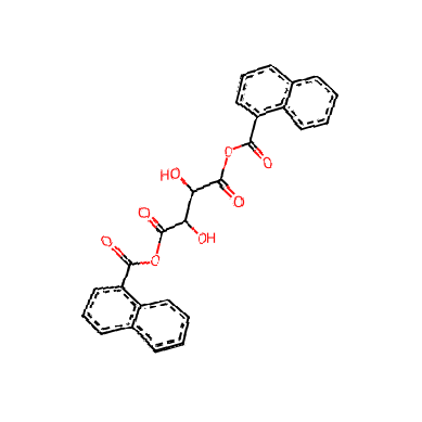 O=C(OC(=O)C(O)C(O)C(=O)OC(=O)c1cccc2ccccc12)c1cccc2ccccc12